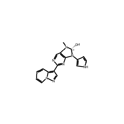 CN1c2cnc(-c3cnn4ccccc34)nc2N(c2cc[nH]c2)[C@H]1O